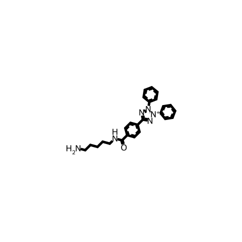 NCCCCCNC(=O)c1ccc(-c2nn(-c3ccccc3)[n+](-c3ccccc3)n2)cc1